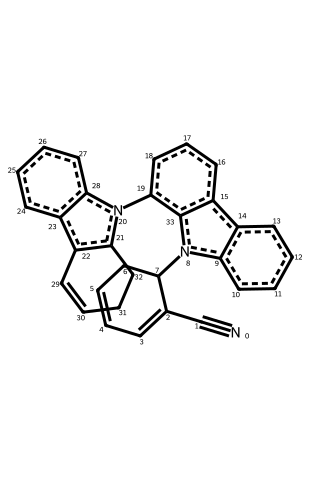 N#CC1=CC=CCC1n1c2ccccc2c2cccc(-n3c4c(c5ccccc53)C=CCC4)c21